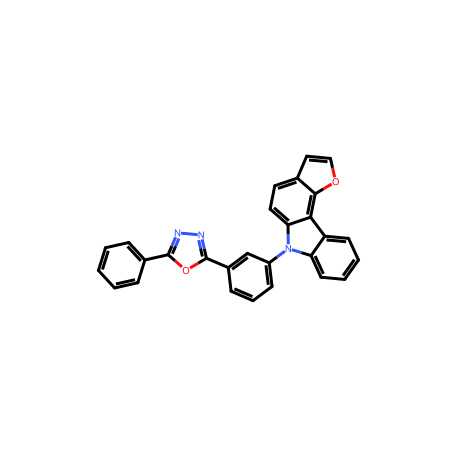 c1ccc(-c2nnc(-c3cccc(-n4c5ccccc5c5c6occc6ccc54)c3)o2)cc1